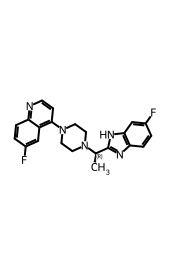 C[C@H](c1nc2ccc(F)cc2[nH]1)N1CCN(c2ccnc3ccc(F)cc23)CC1